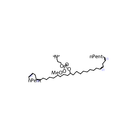 CCCCC/C=C\C/C=C\CCCCCCCCC(CCCCCCCC/C=C\C/C=C\CCCCC)OP(=O)(OCCN(C)C)OOC